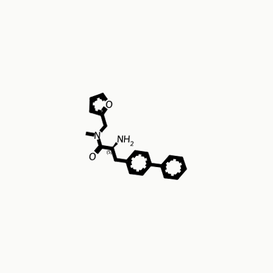 CN(Cc1ccco1)C(=O)[C@@H](N)Cc1ccc(-c2ccccc2)cc1